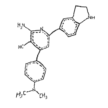 CN(C)c1ccc(-c2cc(-c3ccc4c(c3)CCN4)nc(N)c2C#N)cc1